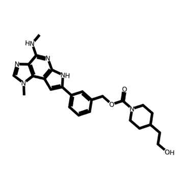 CNc1nc2[nH]c(-c3cccc(COC(=O)N4CCC(CCO)CC4)c3)cc2c2c1ncn2C